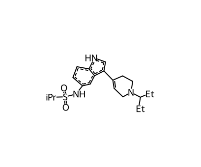 CCC(CC)N1CC=C(c2c[nH]c3ccc(NS(=O)(=O)C(C)C)cc23)CC1